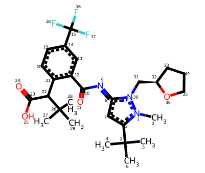 Cn1c(C(C)(C)C)c/c(=N\C(=O)c2cc(C(F)(F)F)ccc2C(C(=O)O)C(C)(C)C)n1C[C@H]1CCCO1